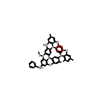 CSN1c2cc3c(cc2B2c4cc(B5c6ccccc6Oc6cc(C)cc(C)c65)c(C)cc4Oc4cc(Nc5ccccc5)cc1c42)B1c2ccccc2Oc2cc(C)cc(c21)N3